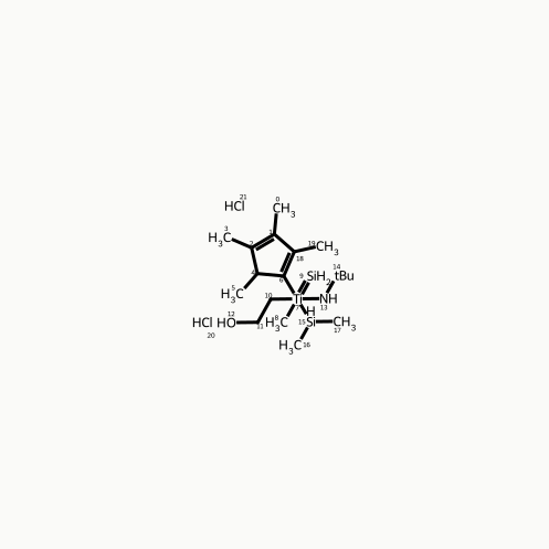 CC1=C(C)C(C)[C]([Ti]([CH3])(=[SiH2])([CH2]CO)([NH]C(C)(C)C)[SiH](C)C)=C1C.Cl.Cl